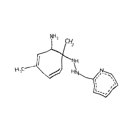 CC1=CC(N)C(C)(NNc2ccccn2)C=C1